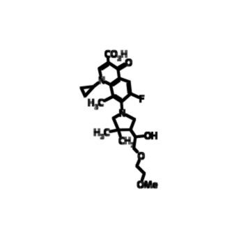 COCCOCC(O)C1CN(c2c(F)cc3c(=O)c(C(=O)O)cn(C4CC4)c3c2C)CC1(C)C